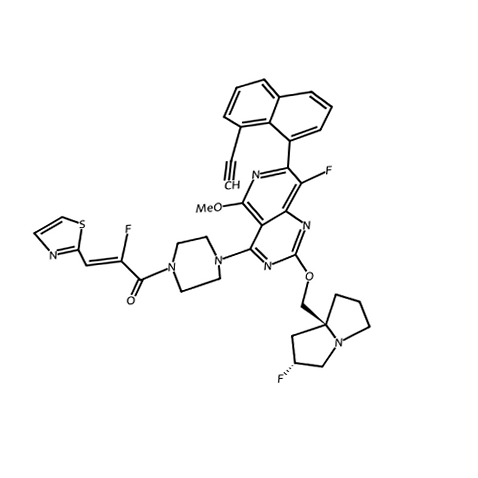 C#Cc1cccc2cccc(-c3nc(OC)c4c(N5CCN(C(=O)/C(F)=C/c6nccs6)CC5)nc(OC[C@@]56CCCN5C[C@H](F)C6)nc4c3F)c12